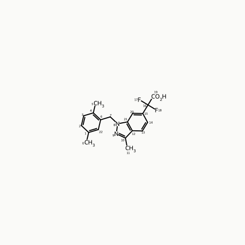 Cc1ccc(C)c(Cn2nc(C)c3ccc(C(F)(F)C(=O)O)cc32)c1